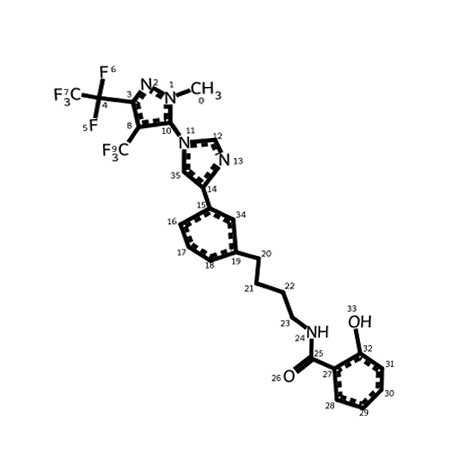 Cn1nc(C(F)(F)C(F)(F)F)c(C(F)(F)F)c1-n1cnc(-c2cccc(CCCCNC(=O)c3ccccc3O)c2)c1